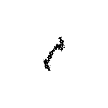 C[C@@H]1C[C@@H](C(=O)NCc2ccc(C3CC3)cc2)N(C(=O)[C@@H](NC(=O)COCCN2CCN(c3ccc(C(=O)N[C@H]4C(C)(C)[C@H](Oc5ccc(C#N)c(Cl)c5)C4(C)C)cn3)CC2)C(C)(C)C)N1